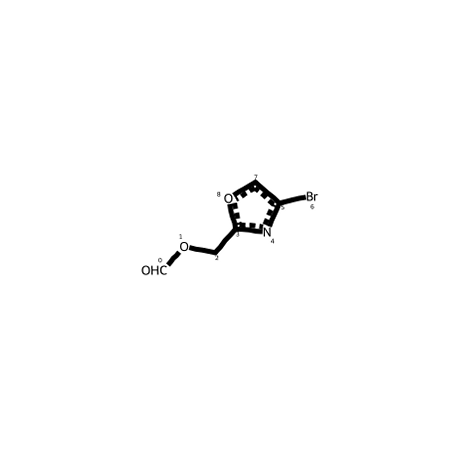 O=COCc1nc(Br)co1